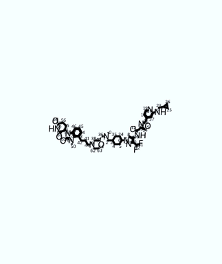 CN(CC1CCC(n2cc(NC(=O)c3coc(-c4ccnc(NCC5CC5)c4)n3)c(C(F)F)n2)CC1)C[C@H]1CN(CCCc2cccc3c2n(C)c(=O)n3C2CCC(=O)NC2=O)CCO1